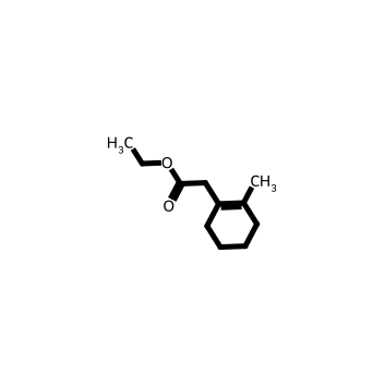 CCOC(=O)CC1=C(C)CCCC1